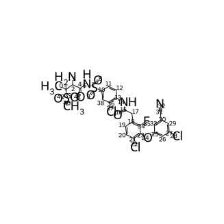 CC(C(N)C(=O)NS(=O)(=O)c1ccc(NC(=O)Cc2ccc(Cl)c(Oc3cc(Cl)cc(C#N)c3)c2F)c(Cl)c1)S(C)(=O)=O